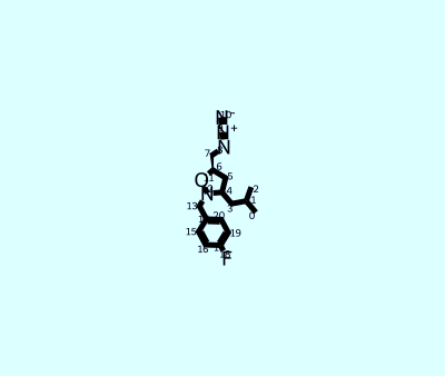 CC(C)CC1C[C@H](CN=[N+]=[N-])ON1Cc1ccc(F)cc1